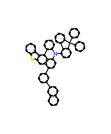 c1ccc(C2(c3ccccc3)c3ccccc3-c3c(N(c4ccc(-c5cccc(-c6ccc7ccccc7c6)c5)cc4)c4ccccc4-c4cccc5sc6ccccc6c45)cccc32)cc1